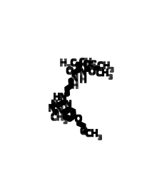 COCCOc1ccc2c(c1)nc(NCCCCNC(=O)C(NC(=O)OC(C)(C)C)C(C)C)c1nnc(C)n12